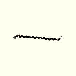 O=C=NC=CCCCCCCCCCCCCCCCCCCN=C=O